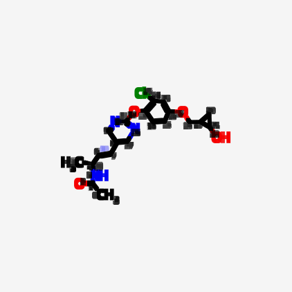 CC(=O)N[C@@H](C)/C=C/c1cnc(Oc2ccc(OCC3CC3O)cc2Cl)nc1